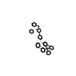 CC1(C)c2ccccc2N(c2ccccc2)c2cc(-c3ccc(N(c4ccccc4)c4ccc5c(c4)C(c4ccccc4)(c4ccccc4)c4ccccc4-5)cc3)ccc21